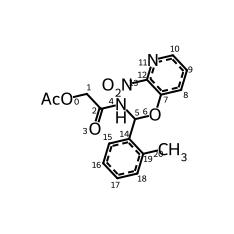 CC(=O)OCC(=O)NC(Oc1cccnc1[N+](=O)[O-])c1ccccc1C